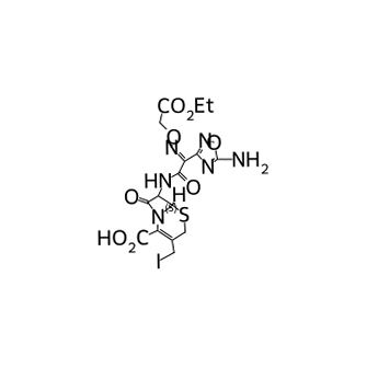 CCOC(=O)CON=C(C(=O)NC1C(=O)N2C(C(=O)O)=C(CI)CS[C@@H]12)c1noc(N)n1